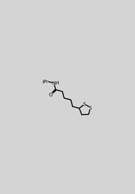 CC(C)NC(=O)CCCCC1CCSS1